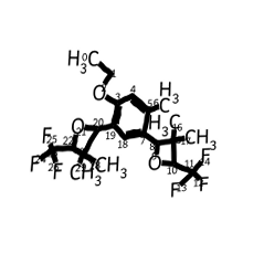 CCOc1cc(C)c(C2OC(C(F)(F)F)C2(C)C)cc1C1OC(C(F)(F)F)C1(C)C